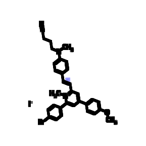 COc1ccc(-c2cc(/C=C/c3ccc(N(C)CCCC#N)cc3)[n+](C)c(-c3ccc(Br)cc3)c2)cc1.[I-]